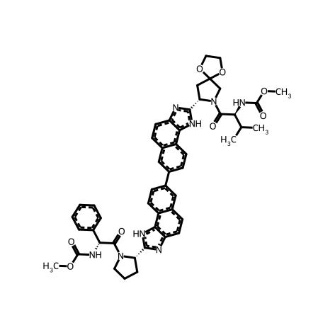 COC(=O)N[C@H](C(=O)N1CC2(C[C@H]1c1nc3ccc4cc(-c5ccc6c(ccc7nc([C@@H]8CCCN8C(=O)[C@H](NC(=O)OC)c8ccccc8)[nH]c76)c5)ccc4c3[nH]1)OCCO2)C(C)C